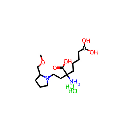 COCC1CCCN1CCC(N)(CCCCB(O)O)C(=O)O.Cl.Cl